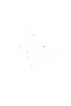 O=C(O)c1ccc(C2=C3C=CC(=N3)C(c3ccc(C(=O)O)cc3)=c3ccc([nH]3)=C(c3ccc(C(=O)O)cc3)C3=N[C@](Cl)(C=C3)[C@@](Cl)(c3ccc(C(=O)O)cc3)c3ccc2[nH]3)cc1